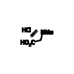 C=C.CNCC(=O)O.Cl